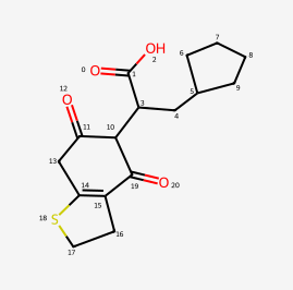 O=C(O)C(CC1CCCC1)C1C(=O)CC2=C(CCS2)C1=O